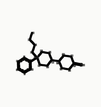 CCCC[Si]1(c2ccccc2)CCC(C2CCC(=O)CC2)CC1